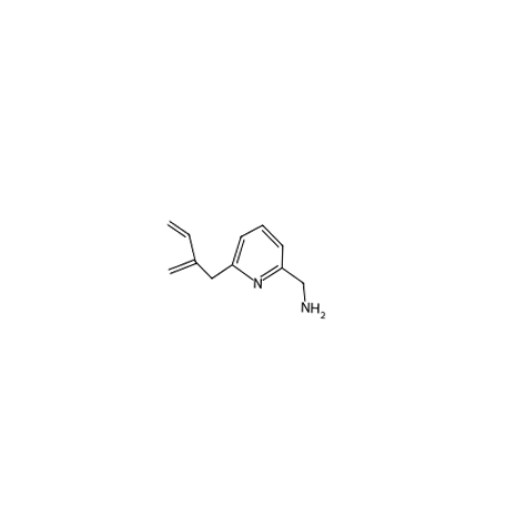 C=CC(=C)Cc1cccc(CN)n1